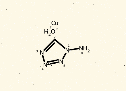 Nn1cnnn1.O.[Cu]